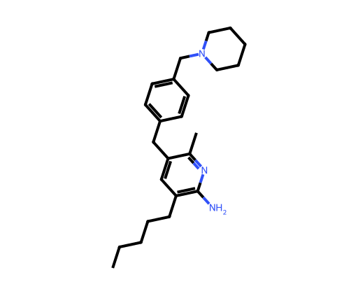 CCCCCc1cc(Cc2ccc(CN3CCCCC3)cc2)c(C)nc1N